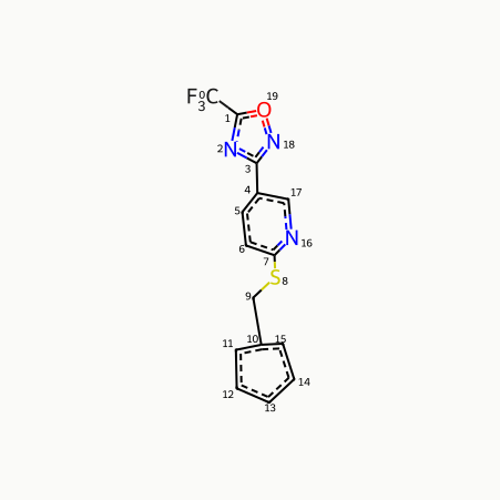 FC(F)(F)c1nc(-c2ccc(SCc3ccccc3)nc2)no1